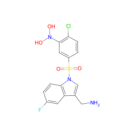 NCc1cn(S(=O)(=O)c2ccc(Cl)c(N(O)O)c2)c2ccc(F)cc12